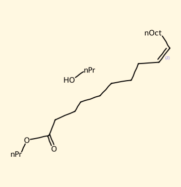 CCCCCCCC/C=C\CCCCCCCC(=O)OCCC.CCCO